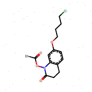 CCC(=O)ON1C(=O)CCc2ccc(OCCCCCl)cc21